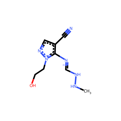 CNN/C=N/c1c(C#N)cnn1CCO